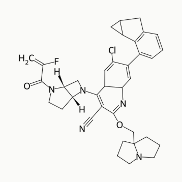 C=C(F)C(=O)N1CC[C@@H]2[C@H]1CN2C1=C(C#N)C(OCC23CCCN2CCC3)=NC2C=C(c3cccc4c3C3CC3C4)C(Cl)=CC12